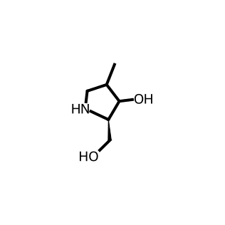 CC1CN[C@H](CO)C1O